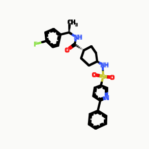 C[C@@H](NC(=O)[C@H]1CC[C@H](NS(=O)(=O)c2ccc(-c3ccccc3)nc2)CC1)c1ccc(F)cc1